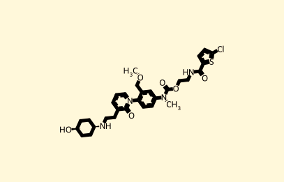 COCc1cc(N(C)C(=O)OCCNC(=O)c2ccc(Cl)s2)ccc1-n1cccc(CCN[C@H]2CC[C@H](O)CC2)c1=O